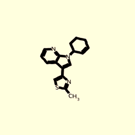 Cc1nc(-c2cn(C3C=CCCC3)c3ncccc23)cs1